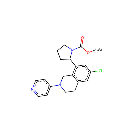 CC(C)(C)OC(=O)N1CCCC1c1cc(Cl)cc2c1CN(c1ccncc1)CC2